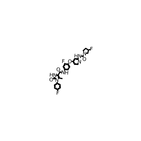 Cc1c(C(=O)Nc2ccc(Oc3ccnc(NC(=O)N4CCC(F)C4)c3)c(F)c2)[nH]c(=O)n1-c1ccc(F)cc1